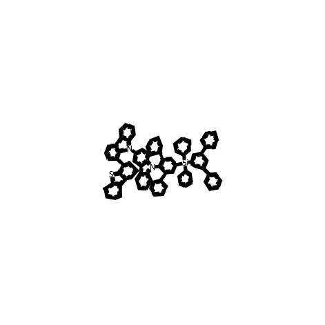 c1ccc(-c2cc(-c3ccccc3)cc([Si](c3ccccc3)(c3ccccc3)c3cc(-c4ccccc4)c(-n4c5ccccc5c5cc(-n6c7ccccc7c7cccc(-c8cccc9c8sc8ccccc89)c76)ccc54)c(-c4ccccc4)c3)c2)cc1